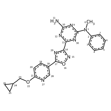 CN(c1ccccc1)c1nc(N)nc(-c2noc(-c3ccc(OCC4CC4)nc3)n2)n1